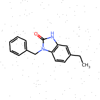 CCc1ccc2c(c1)[nH]c(=O)n2Cc1ccccc1